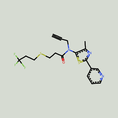 C#CCN(C(=O)CCSCCC(F)(F)F)c1sc(-c2cccnc2)nc1C